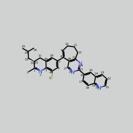 CC1=Nc2c(F)cc(C3=CCCCc4nc(-c5ccc6ncccc6c5)ncc43)cc2C[C@@H]1CC(C)C